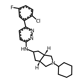 Fc1ccc(Cl)c(-c2ccc(NC3C[C@@H]4CN(C5CCCCC5)C[C@@H]4C3)nn2)c1